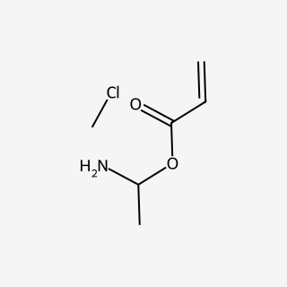 C=CC(=O)OC(C)N.CCl